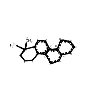 CC1(C)CCCc2c1ccc1c2ccc2ccccc21